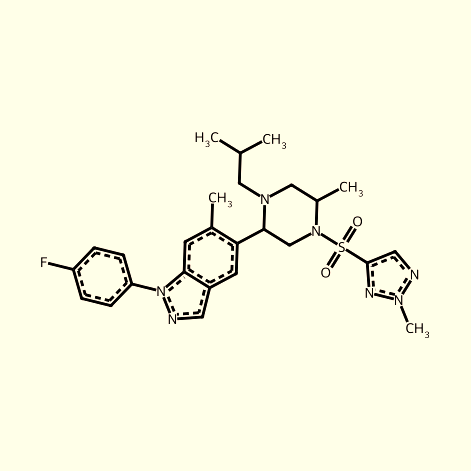 Cc1cc2c(cnn2-c2ccc(F)cc2)cc1C1CN(S(=O)(=O)c2cnn(C)n2)C(C)CN1CC(C)C